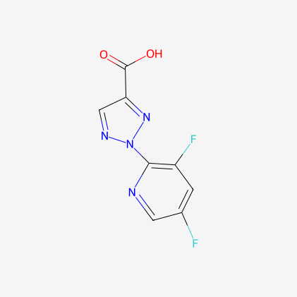 O=C(O)c1cnn(-c2ncc(F)cc2F)n1